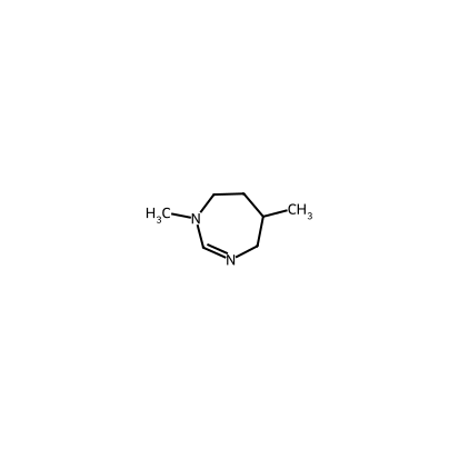 CC1CCN(C)C=NC1